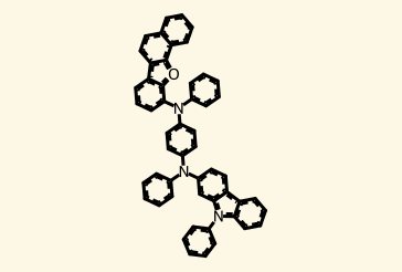 c1ccc(N(c2ccc(N(c3ccccc3)c3cccc4c3oc3c5ccccc5ccc43)cc2)c2ccc3c4ccccc4n(-c4ccccc4)c3c2)cc1